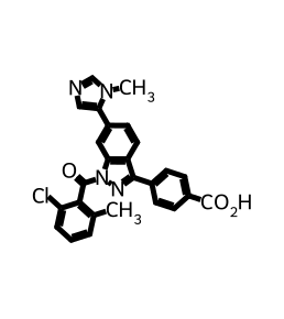 Cc1cccc(Cl)c1C(=O)n1nc(-c2ccc(C(=O)O)cc2)c2ccc(-c3cncn3C)cc21